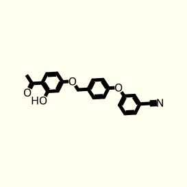 CC(=O)c1ccc(OCc2ccc(Oc3cccc(C#N)c3)cc2)cc1O